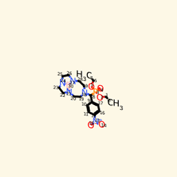 CCOP(=O)(OCC)C(c1ccc([N+](=O)[O-])cc1)N1CCN2CCN3CCN(CC1)B32